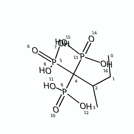 CCC(C)C(P(=O)(O)O)(P(=O)(O)O)P(=O)(O)O